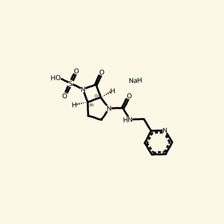 O=C(NCc1ccccn1)N1CC[C@@H]2[C@H]1C(=O)N2S(=O)(=O)O.[NaH]